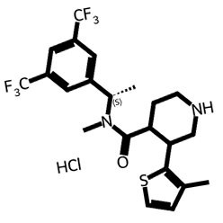 Cc1ccsc1C1CNCCC1C(=O)N(C)[C@@H](C)c1cc(C(F)(F)F)cc(C(F)(F)F)c1.Cl